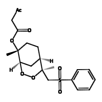 CC(=O)CC(=O)O[C@]1(C)CC[C@@H]2C[C@H]1OO[C@]2(C)CS(=O)(=O)c1ccccc1